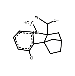 CCC(O)C1(NC(=O)O)CC2CCC1(c1ccccc1Cl)C2